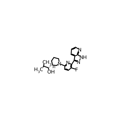 CC(C)C(O)[C@@H]1CCCN(c2ccc(F)c(-c3n[nH]c4ncccc34)n2)C1